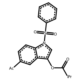 CC(=O)c1ccc2c(c1)c(OC(=O)C(C)C)cn2S(=O)(=O)c1ccccc1